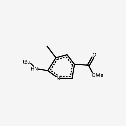 COC(=O)c1cnc(NC(C)(C)C)c(C)c1